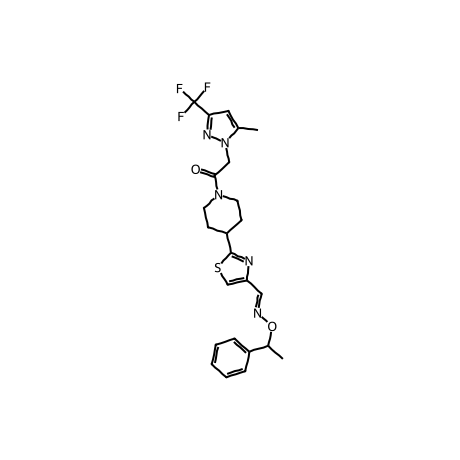 Cc1cc(C(F)(F)F)nn1CC(=O)N1CCC(c2nc(C=NOC(C)c3ccccc3)cs2)CC1